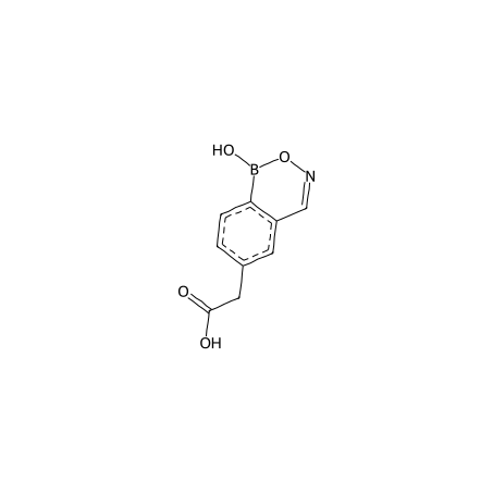 O=C(O)Cc1ccc2c(c1)C=NOB2O